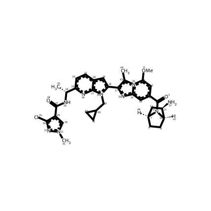 COc1cc(C(=O)N2[C@H]3CC[C@@H]2[C@H](N)C3)cc2nc(-c3cc4ccc([C@@H](C)NC(=O)c5cn(C)nc5Cl)nc4n3CC3CC3)c(C)n12